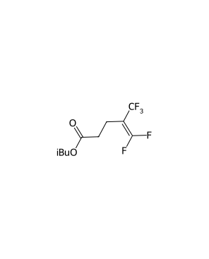 CC(C)COC(=O)CCC(=C(F)F)C(F)(F)F